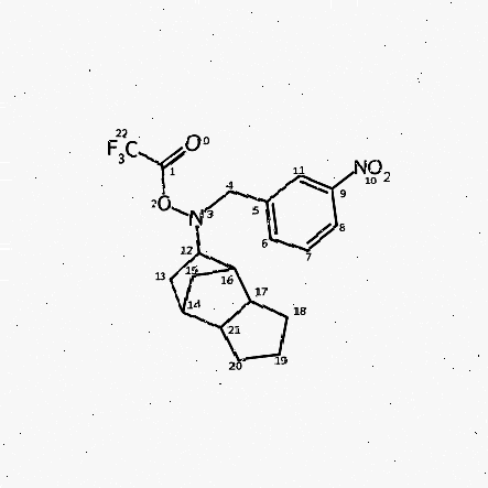 O=C(ON(Cc1cccc([N+](=O)[O-])c1)C1CC2CC1C1CCCC21)C(F)(F)F